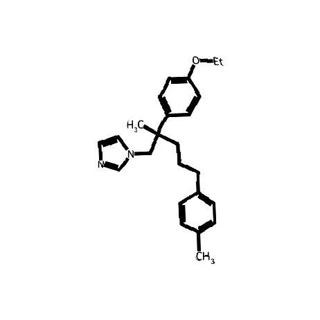 CCOc1ccc(C(C)(CCCc2ccc(C)cc2)Cn2ccnc2)cc1